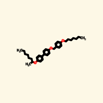 CCCCCCCOc1ccc(COc2ccc(-c3ccc(OC(C)CCCCCC)cc3)cc2)cc1